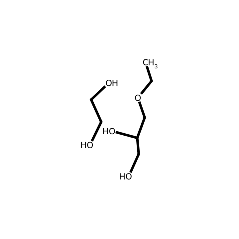 CCOCC(O)CO.OCCO